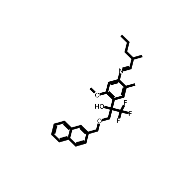 CCCC(C)/C=N/c1cc(OC)c(C(O)(COCc2ccc3ccccc3c2)C(F)(F)F)cc1C